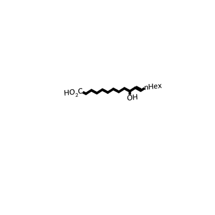 CCCCCCC=CC(O)CCCCCCCCC(=O)O